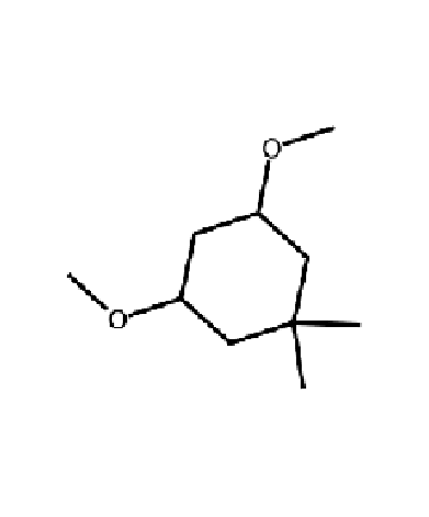 COC1CC(OC)CC(C)(C)C1